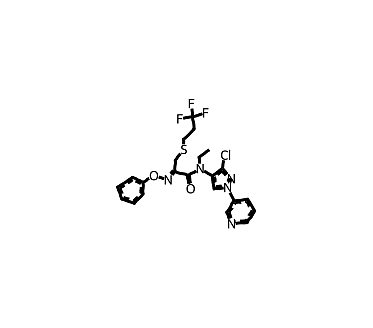 CCN(C(=O)C(CSCCC(F)(F)F)=NOc1ccccc1)c1cn(-c2cccnc2)nc1Cl